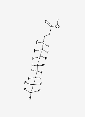 COC(=O)CCC(F)(F)C(F)(F)C(F)(F)C(F)(F)C(F)(F)C(F)(F)C(F)(F)C(F)(F)F